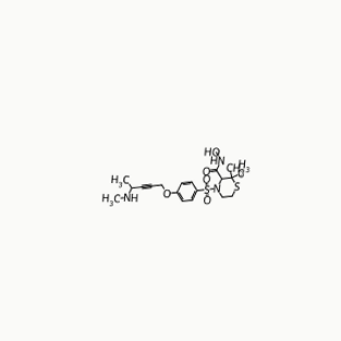 CNC(C)C#CCOc1ccc(S(=O)(=O)N2CCSC(C)(C)C2C(=O)NO)cc1